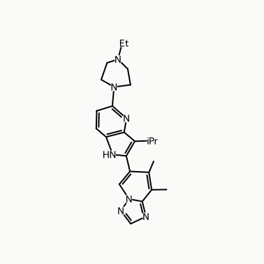 CCN1CCN(c2ccc3[nH]c(-c4cn5ncnc5c(C)c4C)c(C(C)C)c3n2)CC1